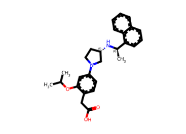 CC(C)Oc1cc(N2CC[C@H](N[C@H](C)c3cccc4ccccc34)C2)ccc1CC(=O)O